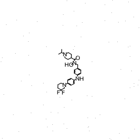 CC(C)N1CCC(C(=O)N(O)Cc2ccc(Nc3ccc(N4CCCC(F)(F)C4)cc3)cc2)CC1